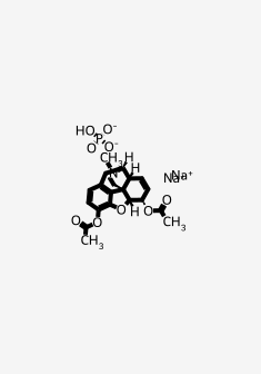 CC(=O)Oc1ccc2c3c1O[C@H]1[C@@H](OC(C)=O)C=C[C@H]4[C@@H](C2)N(C)CC[C@@]341.O=P([O-])([O-])O.[Na+].[Na+]